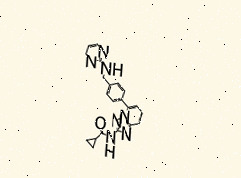 O=C(Nc1nc2cccc(-c3ccc(CNc4ncccn4)cc3)n2n1)C1CC1